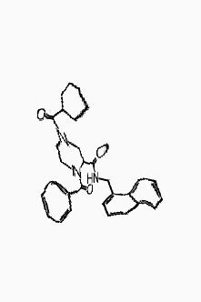 O=C(NCc1cccc2ccccc12)C1CN(C(=O)C2CCCCC2)CCN1C(=O)c1ccccc1